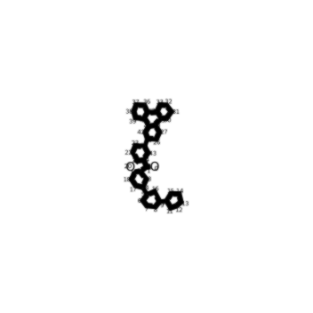 O=c1c2cc(-c3cccc(-c4ccccc4)c3)ccc2oc2ccc(-c3ccc4c5ccccc5c5ccccc5c4c3)cc12